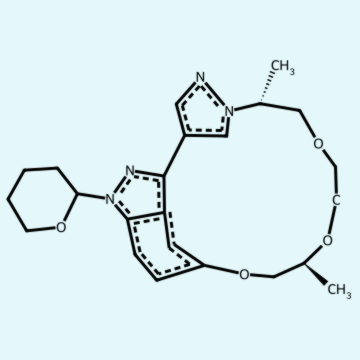 C[C@@H]1COCCO[C@@H](C)COc2ccc3c(c2)c(nn3C2CCCCO2)-c2cnn1c2